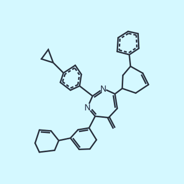 C=C1C=C(C2CC=CC(c3ccccc3)C2)N=C(c2ccc(C3CC3)cc2)N=C1C1=CC(C2C=CCCC2)=CCC1